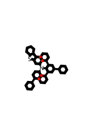 c1ccc(-c2ccc(N(c3ccc4c(c3)sc3ccccc34)c3c(-c4ccccc4)cc(-c4ccccc4)cc3-c3ccccc3)cc2)cc1